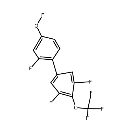 FOc1ccc(-c2cc(F)c(OC(F)(F)F)c(F)c2)c(F)c1